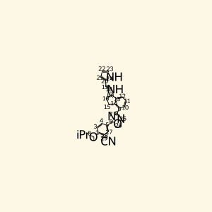 CC(C)Oc1ccc(-c2nc(-c3cccc4c3CC[C@@H]4NCc3ccc[nH]3)no2)cc1C#N